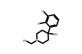 CC(C)CN1CCC(O)(c2cccc(Cl)c2Cl)CC1